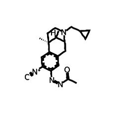 [C-]#[N+]c1cc2c(cc1/N=N\C(C)=O)CC1[C@H](C)[C@]2(C)CCN1CC1CC1